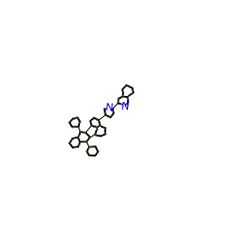 c1ccc(-c2c3c(c(-c4ccccc4)c4ccccc24)-c2ccc(-c4ccc(-c5cc6ccccc6cn5)nc4)c4cccc-3c24)cc1